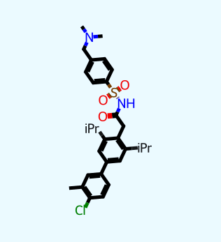 Cc1cc(-c2cc(C(C)C)c(CC(=O)NS(=O)(=O)c3ccc(CN(C)C)cc3)c(C(C)C)c2)ccc1Cl